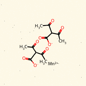 CC(=O)C(C(C)=O)C(=O)[O-].CC(=O)C(C(C)=O)C(=O)[O-].[Mn+2]